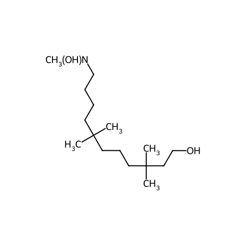 CN(O)CCCCC(C)(C)CCCC(C)(C)CCO